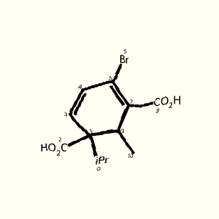 CC(C)C1(C(=O)O)C=CC(Br)=C(C(=O)O)C1C